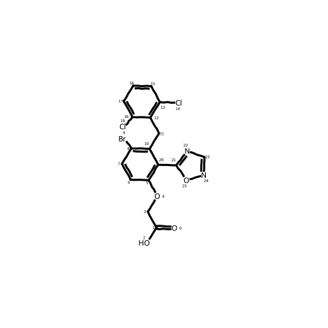 O=C(O)COc1ccc(Br)c(Cc2c(Cl)cccc2Cl)c1-c1ncno1